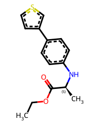 CCOC(=O)[C@H](C)Nc1ccc(-c2ccsc2)cc1